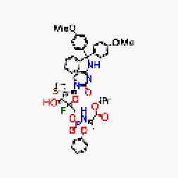 COc1ccc(C(Nc2ccn([C@@H]3O[C@](F)(COP(=O)(N[C@@H](C)C(=O)OC(C)C)Oc4ccccc4)[C@@H](O)[C@]34CCS4)c(=O)n2)(c2ccccc2)c2ccc(OC)cc2)cc1